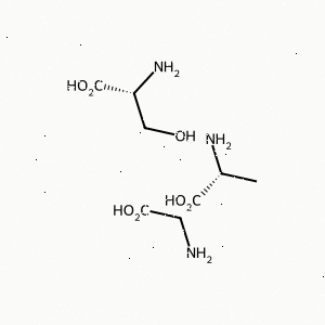 C[C@@H](N)C(=O)O.NCC(=O)O.N[C@H](CO)C(=O)O